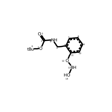 CC(C)(C)OC(=O)NCc1ccccc1OBO